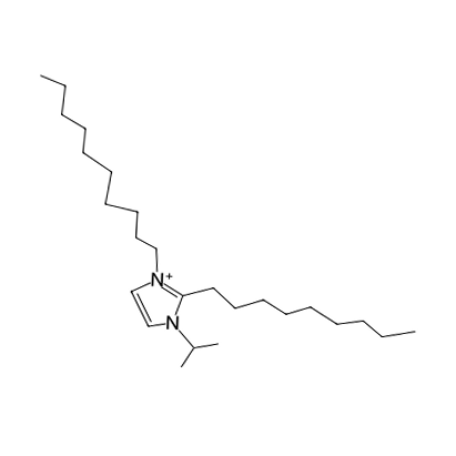 CCCCCCCCCC[n+]1ccn(C(C)C)c1CCCCCCCCC